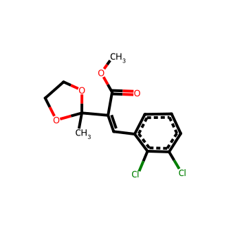 COC(=O)C(=Cc1cccc(Cl)c1Cl)C1(C)OCCO1